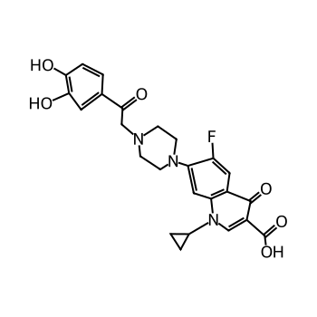 O=C(CN1CCN(c2cc3c(cc2F)c(=O)c(C(=O)O)cn3C2CC2)CC1)c1ccc(O)c(O)c1